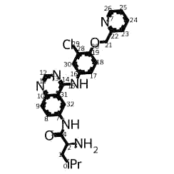 CC(C)C[C@H](N)C(=O)Nc1ccc2ncnc(Nc3ccc(OCc4ccccn4)c(Cl)c3)c2c1